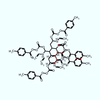 C=C[SiH](C=C)C(CC(C(C(CC(OC(=O)OOC(=O)c1ccc(C)cc1)[SiH](C=C)C=C)C(OC(=O)OOC(=O)c1ccc(C)cc1)[SiH](C=C)C=C)C(OC(=O)OOC(=O)c1ccc(C)cc1)[SiH](C=C)C=C)C(OC(=O)OOC(=O)c1ccc(C)cc1)[SiH](C=C)C=C)OC(=O)OOC(=O)c1ccc(C)cc1